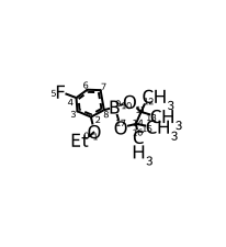 CCOc1cc(F)ccc1B1OC(C)(C)C(C)(C)O1